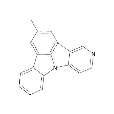 Cc1cc2c3ccccc3n3c4ccncc4c(c1)c23